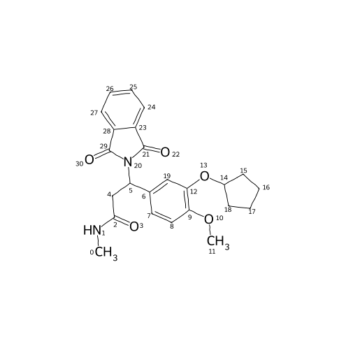 CNC(=O)CC(c1ccc(OC)c(OC2CCCC2)c1)N1C(=O)c2ccccc2C1=O